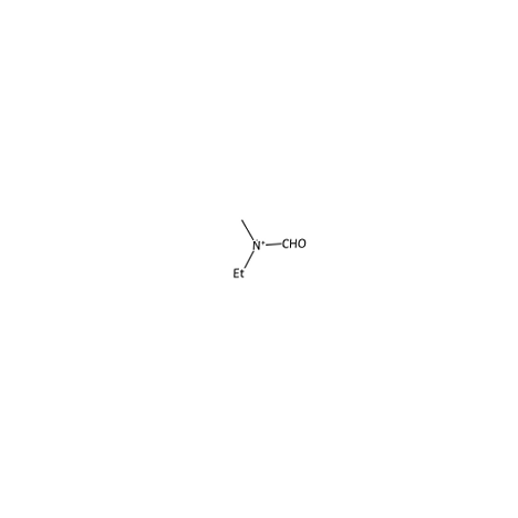 CC[N+](C)C=O